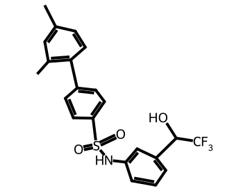 Cc1ccc(-c2ccc(S(=O)(=O)Nc3cccc(C(O)C(F)(F)F)c3)cc2)c(C)c1